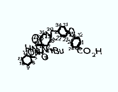 CCCCN1C(=O)[C@H](CC2(O)CCCCC2)NC(=O)C12CCN(Cc1ccc(Oc3ccc(C(=O)O)cc3)cc1)CC2